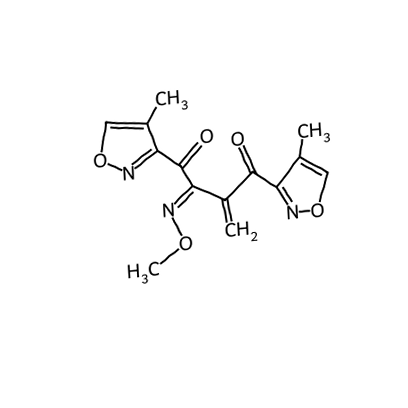 C=C(C(=O)c1nocc1C)/C(=N\OC)C(=O)c1nocc1C